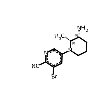 C[C@@H]1[C@H](N)CCCN1c1cnc(C#N)c(Br)c1